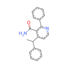 CC(c1ccccc1)c1ccnc(-c2ccccc2)c1C(N)=O